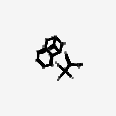 O=C(O)C(F)(F)F.O=C1C2ON1Cc1ccccc12